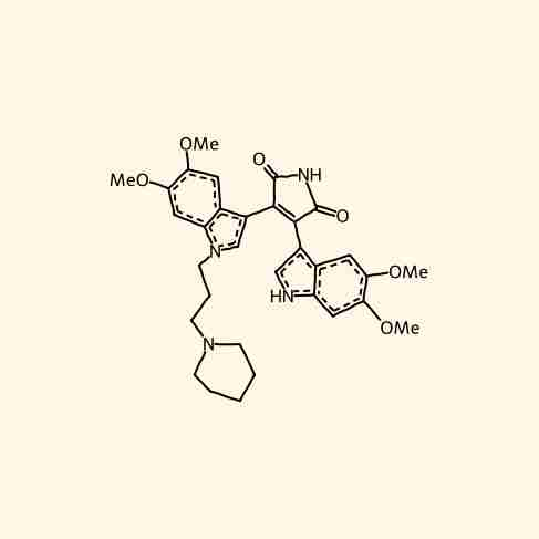 COc1cc2[nH]cc(C3=C(c4cn(CCCN5CCCCC5)c5cc(OC)c(OC)cc45)C(=O)NC3=O)c2cc1OC